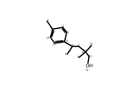 Cc1ccc(C(C)CC(C)(C)CO)cc1